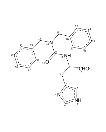 O=[C][C@H](Cc1c[nH]cn1)NC(=O)N(Cc1ccccc1)Cc1ccccc1